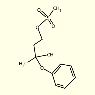 CC(C)(CCOS(C)(=O)=O)Oc1ccccc1